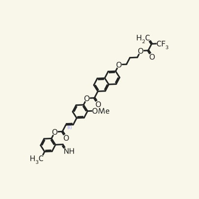 C=C(C(=O)OCCCOc1ccc2cc(C(=O)Oc3ccc(/C=C/C(=O)Oc4ccc(C)cc4C=N)cc3OC)ccc2c1)C(F)(F)F